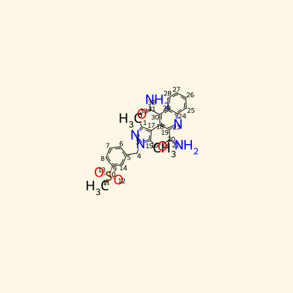 Cc1nn(Cc2cccc(S(C)(=O)=O)c2)c(C)c1-c1c(C(N)=O)nc2ccccc2c1C(N)=O